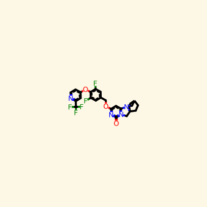 O=c1nc(OCc2cc(F)c(Oc3ccnc(C(F)(F)F)c3)c(F)c2)cc2n1CC13CCC(CC1)CN23